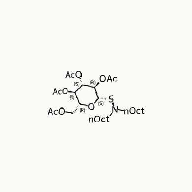 CCCCCCCCN(CCCCCCCC)S[C@@H]1O[C@H](COC(C)=O)[C@@H](OC(C)=O)[C@H](OC(C)=O)[C@H]1OC(C)=O